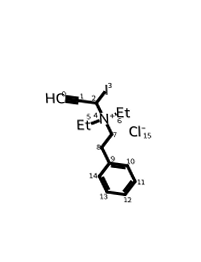 C#CC(I)[N+](CC)(CC)CCc1ccccc1.[Cl-]